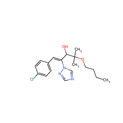 CCCCOC(C)(C)C(O)C(=Cc1ccc(Cl)cc1)n1cncn1